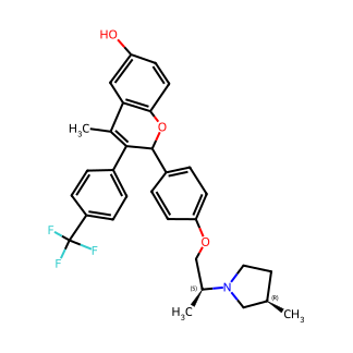 CC1=C(c2ccc(C(F)(F)F)cc2)C(c2ccc(OC[C@H](C)N3CC[C@@H](C)C3)cc2)Oc2ccc(O)cc21